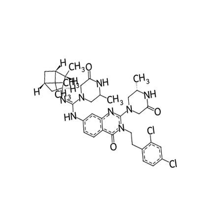 CC1CN(/C(=N\[C@H]2C[C@@H]3C[C@H]([C@@H]2C)C3(C)C)Nc2ccc3c(=O)n(CCc4ccc(Cl)cc4Cl)c(N4CC(=O)N[C@@H](C)C4)nc3c2)CC(=O)N1